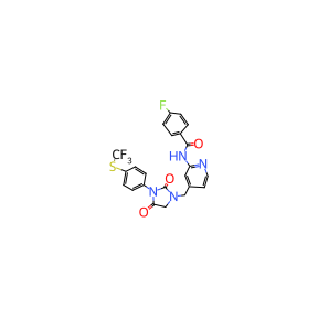 O=C(Nc1cc(CN2CC(=O)N(c3ccc(SC(F)(F)F)cc3)C2=O)ccn1)c1ccc(F)cc1